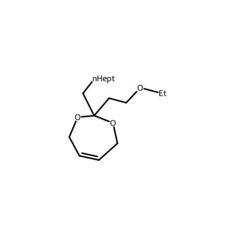 CCCCCCCCC1(CCOCC)OCC=CCO1